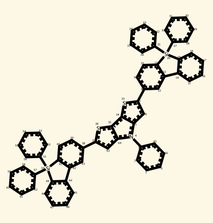 c1ccc(-n2c3cc(-c4ccc5c(c4)-c4ccccc4[Si]5(c4ccccc4)c4ccccc4)sc3c3sc(-c4ccc5c(c4)-c4ccccc4[Si]5(c4ccccc4)c4ccccc4)cc32)cc1